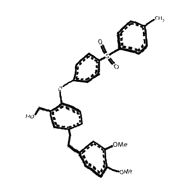 COc1ccc(Cc2ccc(Oc3ccc(S(=O)(=O)c4ccc(C)cc4)cc3)c(CO)c2)cc1OC